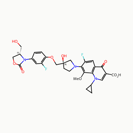 COc1c(N2CC[C@](O)(COc3ccc(N4C(=O)OC[C@@H]4CO)cc3F)C2)c(F)cc2c(=O)c(C(=O)O)cn(C3CC3)c12